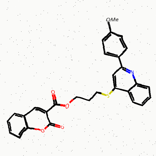 COc1ccc(-c2cc(SCCCOC(=O)c3cc4ccccc4oc3=O)c3ccccc3n2)cc1